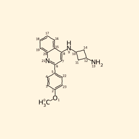 COc1ccc(-c2cc(NC3CC(N)C3)c3ccccc3n2)cc1